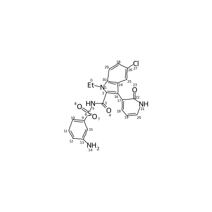 CCn1c(C(=O)NS(=O)(=O)c2cccc(N)c2)c(-c2ccc[nH]c2=O)c2cc(Cl)ccc21